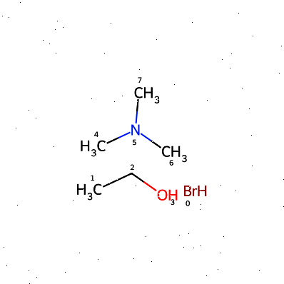 Br.CCO.CN(C)C